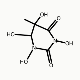 CC1(O)C(=O)N(O)C(=O)N(O)C1O